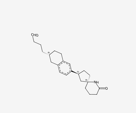 O=CCCC[C@@H]1CCc2cc([C@H]3CC[C@]4(CCCC(=O)N4)C3)ccc2C1